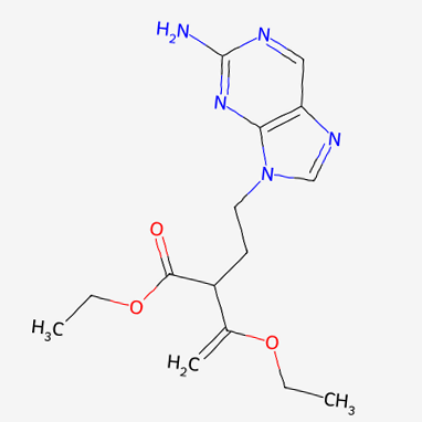 C=C(OCC)C(CCn1cnc2cnc(N)nc21)C(=O)OCC